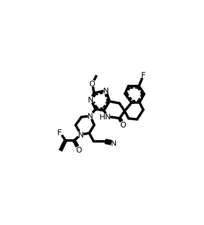 C=C(F)C(=O)N1CCN(c2nc(OC)nc3c2NC(=O)C2(CCCc4cc(F)ccc42)C3)CC1CC#N